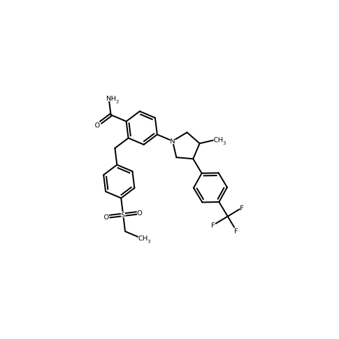 CCS(=O)(=O)c1ccc(Cc2cc(N3CC(C)C(c4ccc(C(F)(F)F)cc4)C3)ccc2C(N)=O)cc1